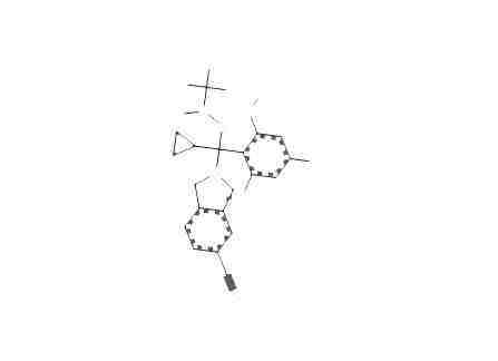 COc1cc(C)cc(C)c1C(N[S+]([O-])C(C)(C)C)(C1CC1)N1Cc2ccc(C#N)cc2C1